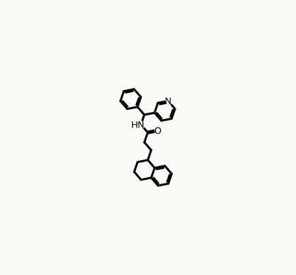 O=C(CCC1CCCc2ccccc21)NC(c1ccccc1)c1cccnc1